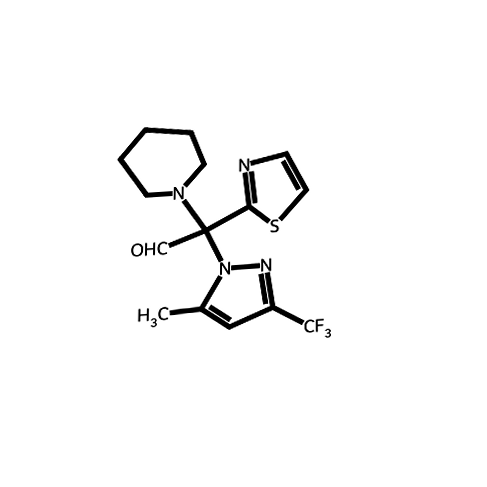 Cc1cc(C(F)(F)F)nn1C(C=O)(c1nccs1)N1CCCCC1